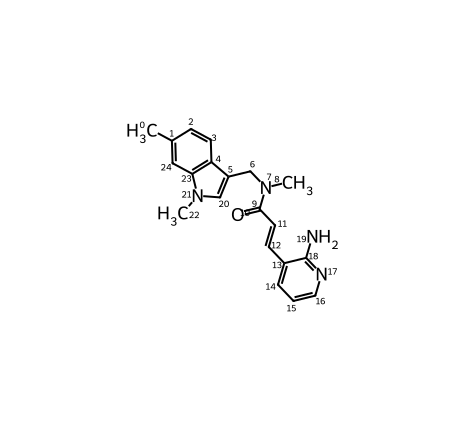 Cc1ccc2c(CN(C)C(=O)C=Cc3cccnc3N)cn(C)c2c1